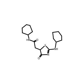 O=C(CC1SC(NC2CCCCC2)=NC1=O)NC1CCCCC1